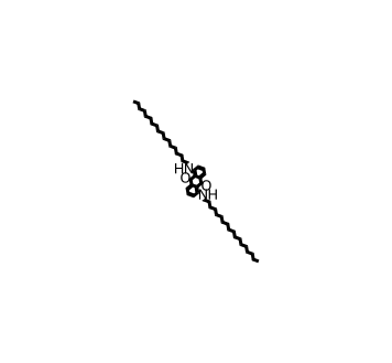 CCCCCCCCCCCCCCCCCCNc1cccc2c1C(=O)c1cccc(NCCCCCCCCCCCCCCCCCC)c1C2=O